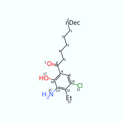 CCCCCCCCCCCCCCCC(=O)c1cc(Cl)c(CC)c(N)c1O